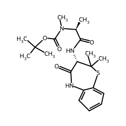 C[C@@H](C(=O)N[C@H]1C(=O)Nc2ccccc2SC1(C)C)N(C)C(=O)OC(C)(C)C